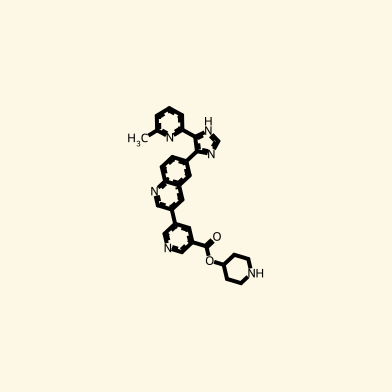 Cc1cccc(-c2[nH]cnc2-c2ccc3ncc(-c4cncc(C(=O)OC5CCNCC5)c4)cc3c2)n1